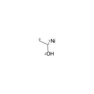 CCO.[Ni]